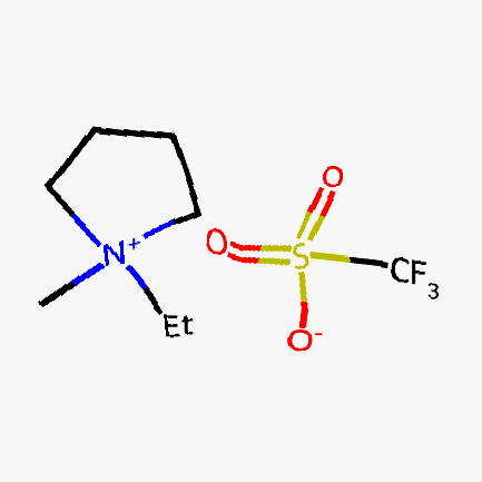 CC[N+]1(C)CCCC1.O=S(=O)([O-])C(F)(F)F